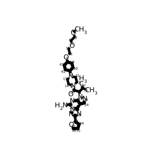 COCCOCCOc1ccc(N2CCN(C(=O)C(C(C)C)n3ncc4c3nc(N)n3nc(-c5ccco5)nc43)CC2)cc1